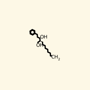 C=CCCCCCCC[C@@H](CO)[C@H](O)CCc1ccccc1